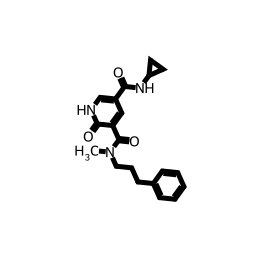 CN(CCCc1ccccc1)C(=O)c1cc(C(=O)NC2CC2)c[nH]c1=O